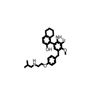 COc1c(Cc2ccc(OCCNCC(C)C)cc2)cc(-c2c(O)ccc3c2CCCC3)c(N)c1F